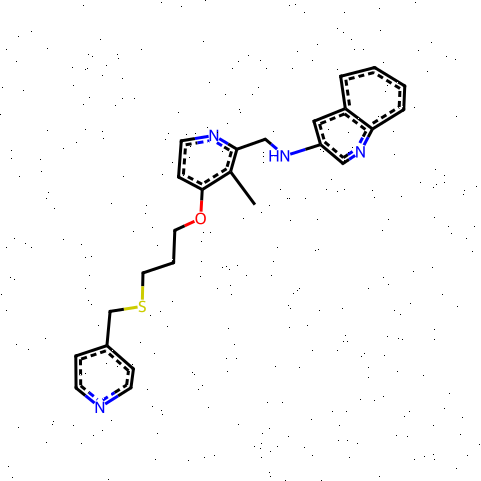 Cc1c(OCCCSCc2ccncc2)ccnc1CNc1cnc2ccccc2c1